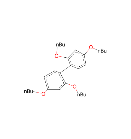 CCCCOc1ccc(-c2ccc(OCCCC)cc2OCCCC)c(OCCCC)c1